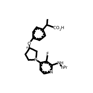 CCCNc1nccc(N2CC[C@@H](Oc3ccc(C(C)C(=O)O)cc3)C2)c1F